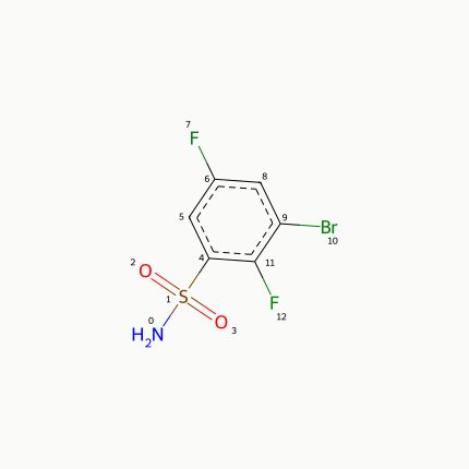 NS(=O)(=O)c1cc(F)cc(Br)c1F